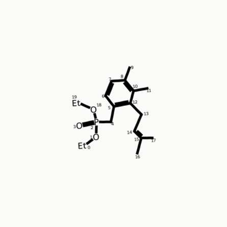 CCOP(=O)(Cc1ccc(C)c(C)c1CC=C(C)C)OCC